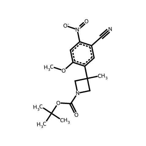 COc1cc([N+](=O)[O-])c(C#N)cc1C1(C)CN(C(=O)OC(C)(C)C)C1